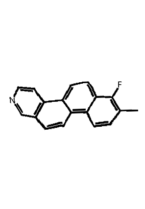 Cc1ccc2c(ccc3c4ccncc4ccc23)c1F